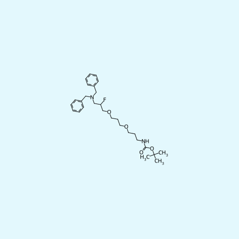 CC(C)(C)OC(=O)NCCCOCCCOCC(F)CN(Cc1ccccc1)Cc1ccccc1